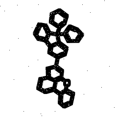 c1ccc(C2(c3ccccc3)c3ccccc3-c3cc(-c4cc5c6c(cccc6c4)-c4ccccc4O5)ccc32)cc1